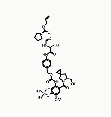 C=CCOC(=O)N1CCC[C@H]1C(=O)N[C@H](C(=O)Nc1ccc(COC(=O)Nc2cc(O[Si](C(C)C)(C(C)C)C(C)C)c(OC)cc2C(=O)N2CC3(CC3)C[C@H]2CO)cc1)C(C)CC